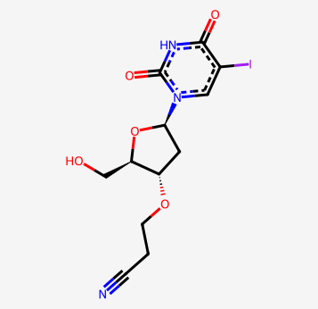 N#CCCO[C@H]1C[C@H](n2cc(I)c(=O)[nH]c2=O)O[C@@H]1CO